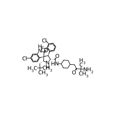 CC(C)(C)C[C@H]1N[C@@H](C(=O)NC2CCC(CC(=O)C(C)(C)N)CC2)[C@H](c2cccc(Cl)c2F)[C@@]12C(=O)Nc1cc(Cl)ccc12